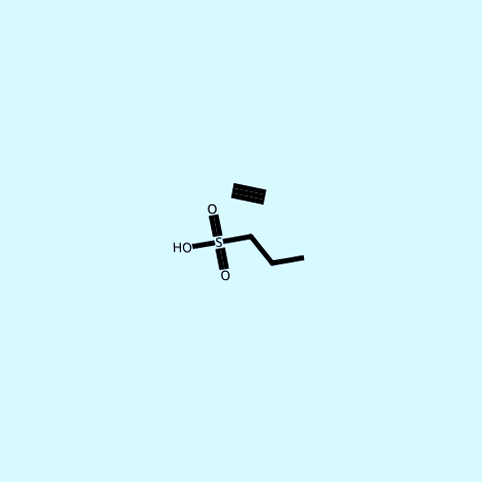 C#C.CCCS(=O)(=O)O